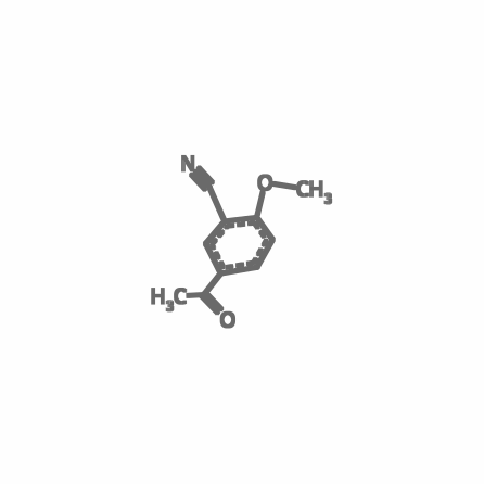 COc1ccc(C(C)=O)cc1C#N